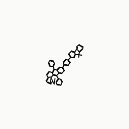 CC1(C)c2ccccc2-c2ccc(-c3ccc(-c4ccc5c(-c6ccccc6)c6c(ccc7cccnc76)c(-c6ccccc6)c5c4)cc3)cc21